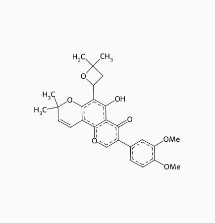 COc1ccc(-c2coc3c4c(c(C5CC(C)(C)O5)c(O)c3c2=O)OC(C)(C)C=C4)cc1OC